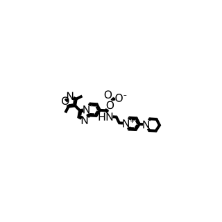 Cc1noc(C)c1-c1cnc2cc(C(=O)NCC[n+]3ccc(N4CCCCC4)cc3)ccn12.O=C[O-]